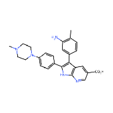 Cc1ccc(-c2c(-c3ccc(N4CCN(C)CC4)cc3)[nH]c3ncc(C(=O)O)cc23)cc1N